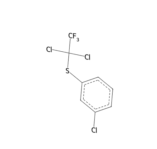 FC(F)(F)C(Cl)(Cl)Sc1cccc(Cl)c1